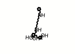 Oc1cccc(CCc2c(CCNCCCCCCCCCNCCc3ccccc3)ccc(O)c2O)c1